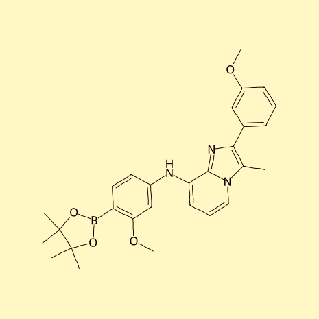 COc1cccc(-c2nc3c(Nc4ccc(B5OC(C)(C)C(C)(C)O5)c(OC)c4)cccn3c2C)c1